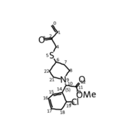 C=CC(=O)CSC1CCN([C@H](C(=O)OC)C2=CC=CCC2Cl)CC1